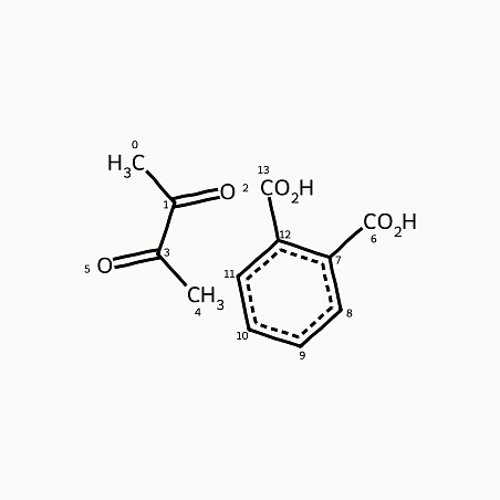 CC(=O)C(C)=O.O=C(O)c1ccccc1C(=O)O